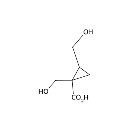 O=C(O)C1(CO)CC1CO